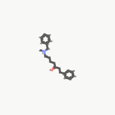 CN(CCCCC(=O)CCc1ccccc1)Cc1ccccc1